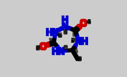 CC1NC(=O)NNC(=O)N1